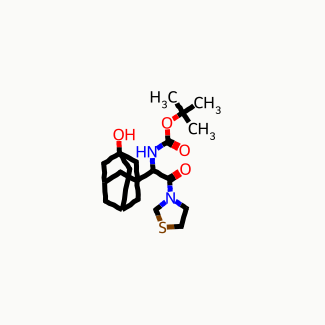 CC(C)(C)OC(=O)NC(C(=O)N1CCSC1)C12CC3CC(CC(O)(C3)C1)C2